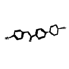 CCCc1ccc(CC(=O)c2ccc([C@H]3CC[C@H](CCC)CC3)cc2)cc1